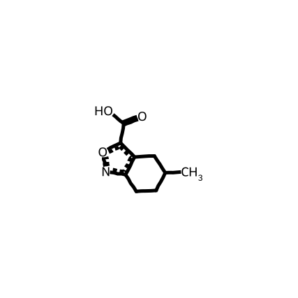 CC1CCc2noc(C(=O)O)c2C1